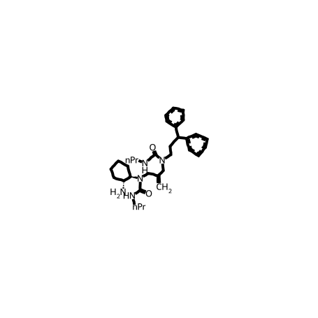 C=C(CN(CCC(c1ccccc1)c1ccccc1)C(=O)NCCC)CN(C(=O)NCCC)[C@@H]1CCCC[C@H]1N